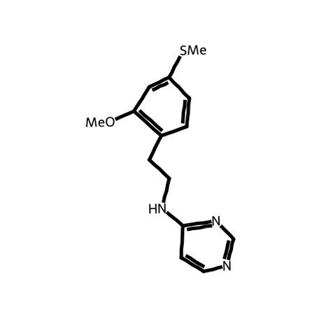 COc1cc(SC)ccc1CCNc1ccncn1